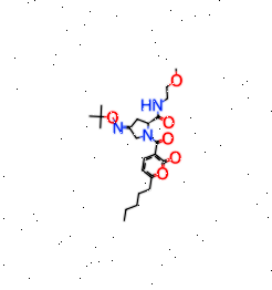 CCCCCc1ccc(C(=O)N2CC(=NOC(C)(C)C)C[C@H]2C(=O)NCCOC)c(=O)o1